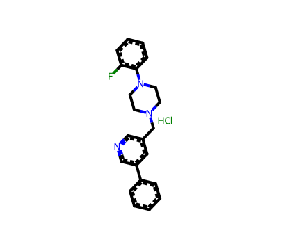 Cl.Fc1ccccc1N1CCN(Cc2cncc(-c3ccccc3)c2)CC1